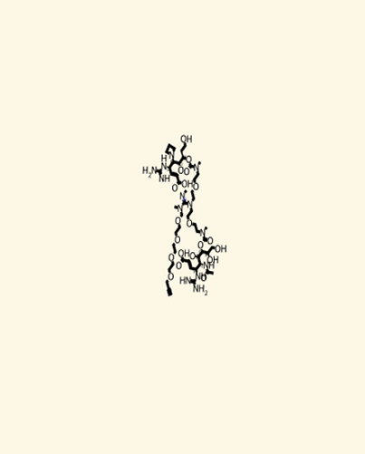 C#CCOCCOCCOCCOCN(C)/C(=N/C)N(CCOCCN(C)C(=O)O[C@@H]([C@@H]1OC(C(=O)O)=C[C@H](NC(=N)N)[C@H]1NC(C)=O)[C@H](O)CO)CCOCCN(C)C(=O)O[C@H](CCO)[C@@H]1OC(C(=O)O)=C[C@H](NC(=N)N)[C@H]1N1CCC1